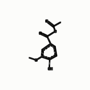 COc1cc(C(=O)OC(C)=O)ccc1O